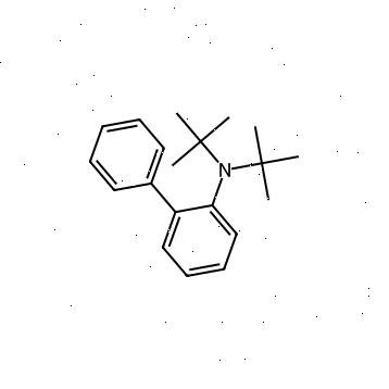 CC(C)(C)N(c1ccccc1-c1ccccc1)C(C)(C)C